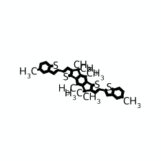 Cc1ccc2sc(-c3cc4c(s3)-c3c(C)c5c(c(C)c3C4(C)C)-c3sc(-c4cc6cc(C)ccc6s4)cc3C5(C)C)cc2c1